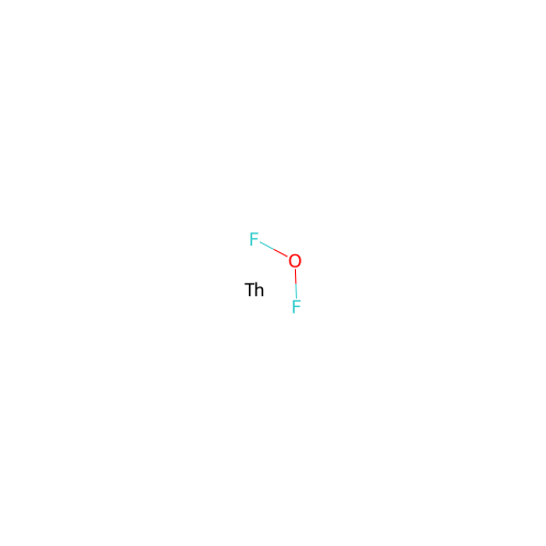 FOF.[Th]